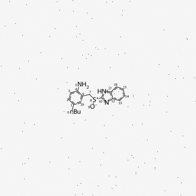 CCCCc1ccc(N)c(C[S+]([O-])c2nc3ccccc3[nH]2)c1